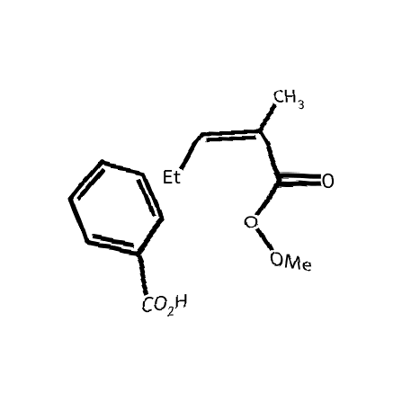 CCC=C(C)C(=O)OOC.O=C(O)c1ccccc1